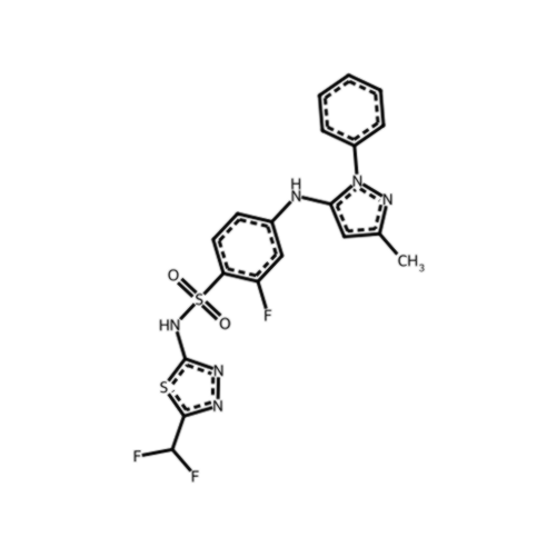 Cc1cc(Nc2ccc(S(=O)(=O)Nc3nnc(C(F)F)s3)c(F)c2)n(-c2ccccc2)n1